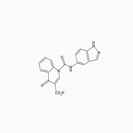 O=C(O)c1cn(C(=O)Nc2ccc3[nH]ncc3c2)c2ccccc2c1=O